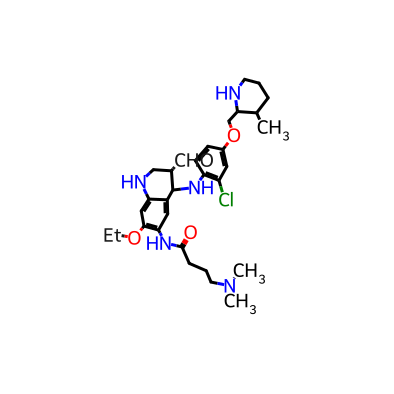 CCOc1cc2c(cc1NC(=O)CCCN(C)C)C(Nc1ccc(OCC3NCCCC3C)cc1Cl)C(C=O)CN2